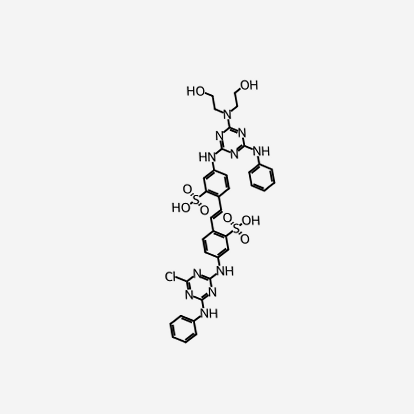 O=S(=O)(O)c1cc(Nc2nc(Cl)nc(Nc3ccccc3)n2)ccc1/C=C/c1ccc(Nc2nc(Nc3ccccc3)nc(N(CCO)CCO)n2)cc1S(=O)(=O)O